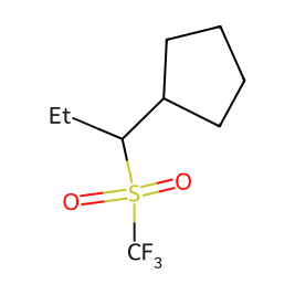 CCC(C1CCCC1)S(=O)(=O)C(F)(F)F